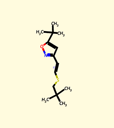 CC(C)(C)CS/C=C/c1cc(C(C)(C)C)on1